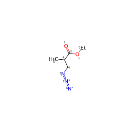 CCOC(=O)C(C)CN=[N+]=[N-]